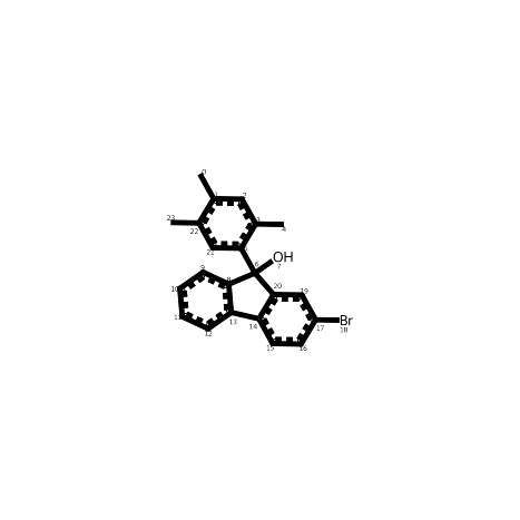 Cc1cc(C)c(C2(O)c3ccccc3-c3ccc(Br)cc32)cc1C